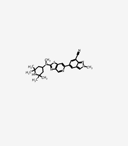 CN(c1nc2cnc(-c3cc(C#N)c4nn(C)cc4c3)cc2s1)C1CC(C)(C)NC(C)(C)C1